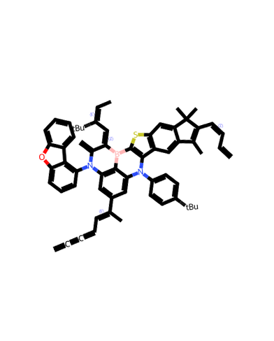 C=C=C=C/C=C(\C)c1cc2c3c(c1)N(c1ccc(C(C)(C)C)cc1)c1c(sc4cc5c(cc14)C(C)=C(/C=C\C=C)C5(C)C)B3/C(=C/C(=C\C)C(C)(C)C)C(=C)N2c1cccc2oc3ccccc3c12